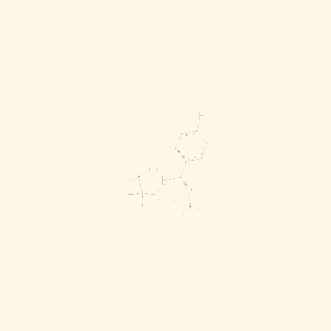 CC1(C)OB(C(=C[Si](C)(C)C)c2ccc(F)cc2)OC1(C)C